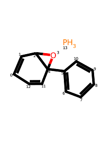 C1=CC2OC2(c2ccccc2)C=C1.P